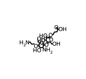 NCCCO[C@@H]1C(CO)O[C@@H](O[C@@H]2C(CO)O[C@@H](OCCCC(=O)O)[C@@H](O)C2O)C(N)C1O